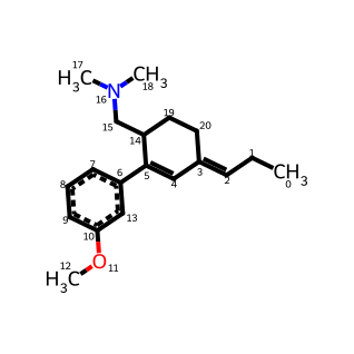 CC/C=C1/C=C(c2cccc(OC)c2)C(CN(C)C)CC1